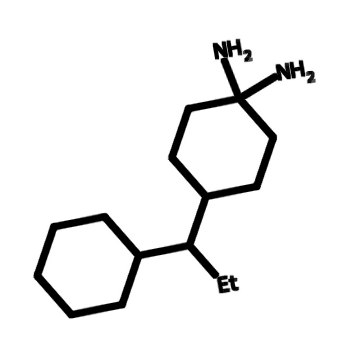 CCC(C1CCCCC1)C1CCC(N)(N)CC1